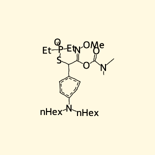 CCCCCCN(CCCCCC)c1ccc(C(SP(=O)(CC)CC)C(=NOC)OC(=O)N(C)C)cc1